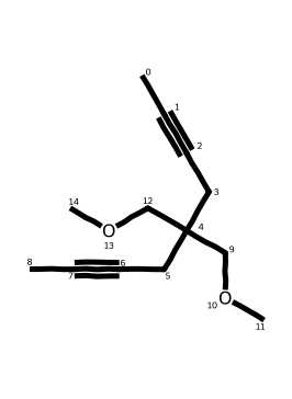 CC#CCC(CC#CC)(COC)COC